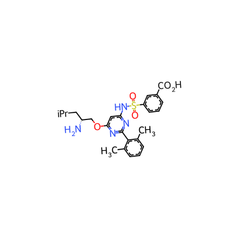 Cc1cccc(C)c1-c1nc(NS(=O)(=O)c2cccc(C(=O)O)c2)cc(OC[C@H](N)CC(C)C)n1